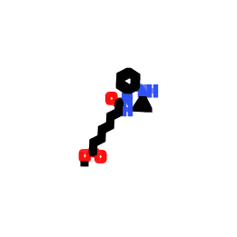 COC(=O)CCCCCCC(=O)Nc1ccccc1NC1CC1